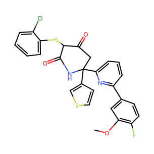 COc1cc(-c2cccc(C3(c4ccsc4)CC(=O)C(Sc4ccccc4Cl)C(=O)N3)n2)ccc1F